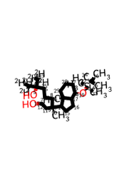 [2H]C([2H])([2H])C(O)(CCC[C@@](C)(CCO)C1CCC2[C@@H](O[Si](C)(C)C(C)(C)C)CCC[C@@]21C)C([2H])([2H])[2H]